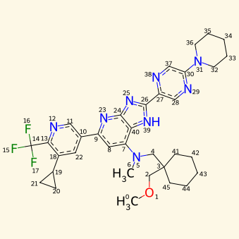 COCC1(CN(C)c2cc(-c3cnc(C(F)(F)F)c(C4CC4)c3)nc3nc(-c4cnc(N5CCCCC5)cn4)[nH]c23)CCCCC1